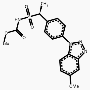 COc1ccc2c(c1)nnn2-c1ccc([C@H](C)S(=O)(=O)NC(=O)OC(C)(C)C)cc1